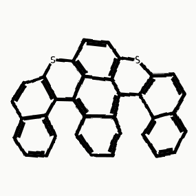 c1ccc2c3c(ccc2c1)Sc1ccc2c4c(c5ccccc5c-3c14)-c1c(ccc3ccccc13)S2